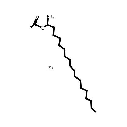 CCCCCCCCCCCCCCCCCC(N)OC(C)=O.[Zn]